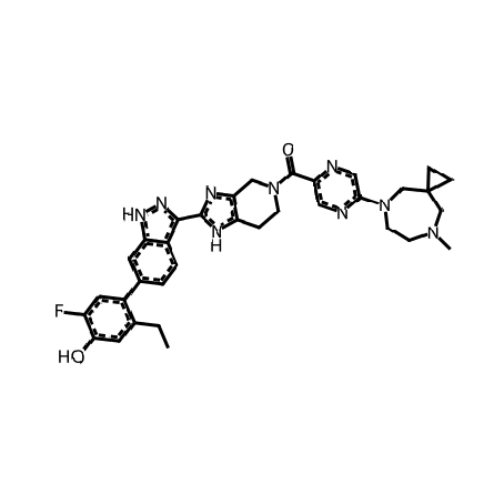 CCc1cc(O)c(F)cc1-c1ccc2c(-c3nc4c([nH]3)CCN(C(=O)c3cnc(N5CCN(C)CC6(CC6)C5)cn3)C4)n[nH]c2c1